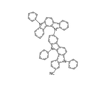 N#Cc1ccc2c3c(ccc4c5cc(-n6c7ccccc7c7ccc8c(c9ccccc9n8-c8ccccc8)c76)ccc5n(-c5ccccc5)c43)n(-c3ccccc3)c2c1